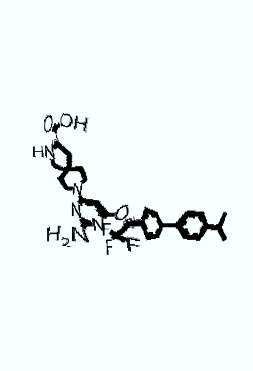 CC(C)c1ccc(-c2ccc([C@@H](Oc3cc(N4CCC5(CC4)CN[C@H](C(=O)O)C5)nc(N)n3)C(F)(F)F)cc2)cc1